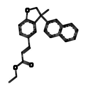 CCOC(=O)/C=C/c1ccc2c(c1)C(C)(c1ccc3ccccc3c1)CO2